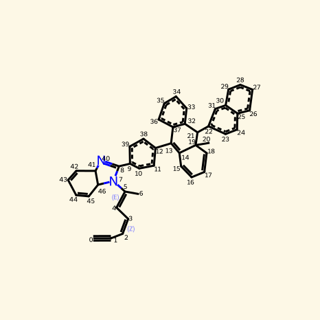 C#C/C=C\C=C(/C)N1C(c2ccc(C3=C4C=CC=CC4(C)C(c4ccc5ccccc5c4)c4ccccc43)cc2)=NC2C=CC=CC21